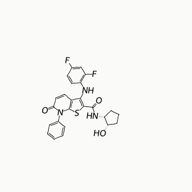 O=C(N[C@@H]1CCC[C@@H]1O)c1sc2c(ccc(=O)n2-c2ccccc2)c1Nc1ccc(F)cc1F